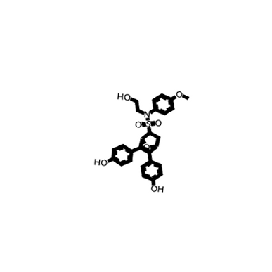 COc1ccc(N(CCO)S(=O)(=O)C2CC3OC2C(c2ccc(O)cc2)=C3c2ccc(O)cc2)cc1